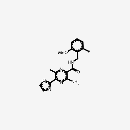 COc1cccc(F)c1CNC(=O)c1nc(C)c(-c2ncco2)nc1N